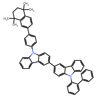 CC1(C)CCC(C)(C)c2cc(-c3ccc(-n4c5ccccc5c5cc(-c6ccc7c(c6)c6ccccc6n7-c6ccccc6-c6ccccc6)ccc54)cc3)ccc21